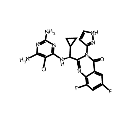 Nc1nc(N)c(Cl)c(N[C@H](c2nc3c(F)cc(F)cc3c(=O)n2-c2cc[nH]n2)C2CC2)n1